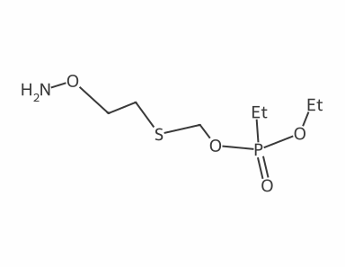 CCOP(=O)(CC)OCSCCON